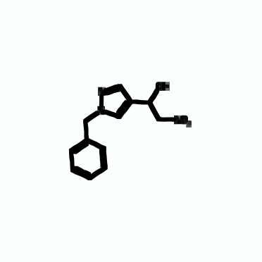 O=[N+]([O-])CC(O)c1cnn(Cc2ccccc2)c1